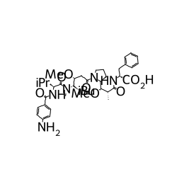 CC[C@H](C)[C@@H]([C@@H](CC(=O)N1CCC[C@H]1[C@H](OC)[C@@H](C)C(=O)N[C@@H](Cc1ccccc1)C(=O)O)OC)N(C)C(=O)[C@@H](NC(=O)c1ccc(N)cc1)C(C)C